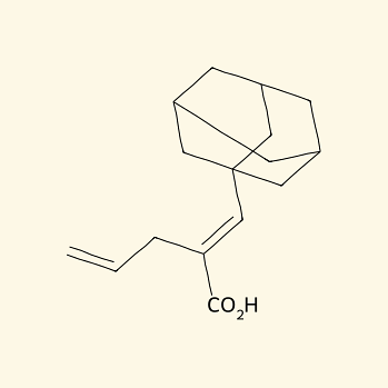 C=CCC(=CC12CC3CC(CC(C3)C1)C2)C(=O)O